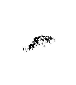 CC(C)(C(N)=O)N1CCN(Cc2ccc3nc(-c4ccc(N)nc4)nc(N)c3n2)CC1